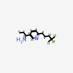 CCC(N)c1ccc(CCCC(C)(C)F)nc1